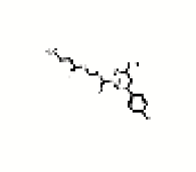 CCCC(=O)OCOC(=O)NC[C@H](CC(=O)O)c1ccc(Cl)cc1